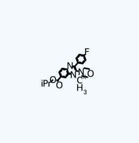 CC(C)OC(=O)c1ccc2nc(-c3ccc(F)cc3)c(N3CCOC[C@@H]3C)nc2c1